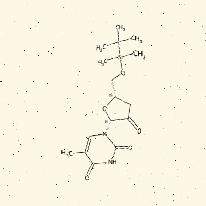 Cc1cn([C@@H]2O[C@H](CO[Si](C)(C)C(C)(C)C)CC2=O)c(=O)[nH]c1=O